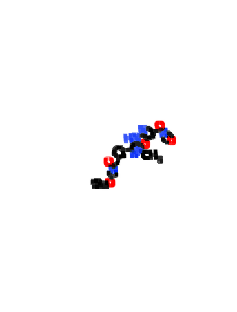 Cn1nc(-c2cccc(CC(=O)N3CC(OC(C)(C)C)C3)c2)cc(Nc2ccc(C(=O)N3CCOCC3)cn2)c1=O